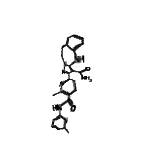 Cc1cccc(NC(=O)c2ccc(-c3nn4c(c3C(N)=O)Nc3ccccc3CC4)nc2C)n1